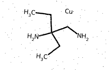 CCC(N)(CC)CN.[Cu]